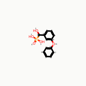 O=P(O)(O)C(O)c1cccc(Oc2ccccc2)c1